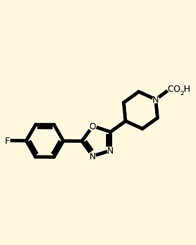 O=C(O)N1CCC(c2nnc(-c3ccc(F)cc3)o2)CC1